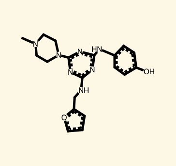 CN1CCN(c2nc(NCc3ccco3)nc(Nc3ccc(O)cc3)n2)CC1